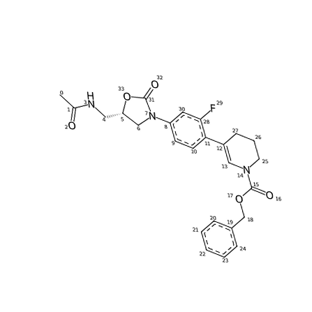 CC(=O)NC[C@H]1CN(c2ccc(C3=CN(C(=O)OCc4ccccc4)CCC3)c(F)c2)C(=O)O1